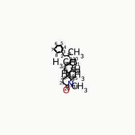 CC(Cc1ccccc1)[C@H]1CC[C@H]2[C@@H]3CCC4N(C)C(=O)CC[C@]4(C)[C@H]3CC[C@]12C